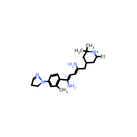 CCC1CC(C/C(N)=C/C=C(\N)c2ccc(N3CCC=N3)cc2C)CC(C)(C)N1